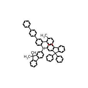 Cc1ccccc1-c1cc(-c2ccc(-c3ccccc3)cc2)ccc1N(c1ccc2c(c1)C(C)(C)c1ccccc1-2)c1ccc2c(c1)C(c1ccccc1)(c1ccccc1)c1ccccc1-2